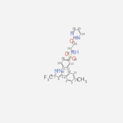 Cc1ccc(-c2cc(C(F)(F)F)nn2-c2ccc(S(=O)(=O)NCCOc3ncccn3)cc2)cc1